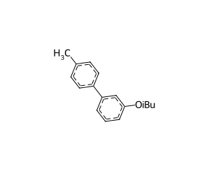 Cc1ccc(-c2cccc(OCC(C)C)c2)cc1